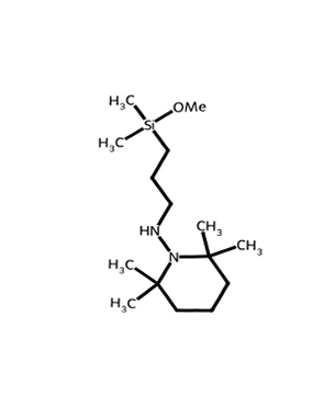 CO[Si](C)(C)CCCNN1C(C)(C)CCCC1(C)C